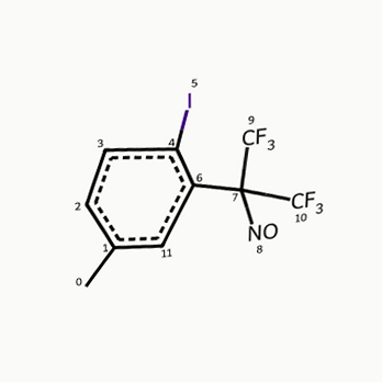 Cc1ccc(I)c(C(N=O)(C(F)(F)F)C(F)(F)F)c1